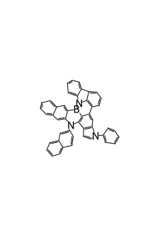 c1ccc(-n2ccc3c4c5c(cc32)-c2cccc3c6ccccc6n(c23)B5c2cc3ccccc3cc2N4c2ccc3ccccc3c2)cc1